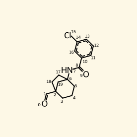 O=CC12CCCC(NC(=O)c3cccc(Cl)c3)(CC1)C2